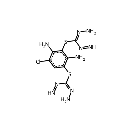 N=NC(=NN)Sc1cc(Cl)c(N)c(SC(N=N)=NN)c1N